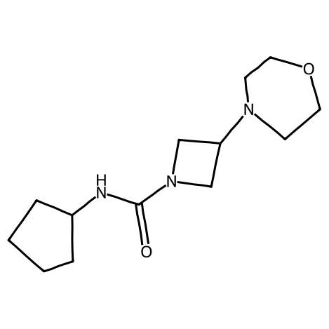 O=C(NC1CCCC1)N1CC(N2CCOCC2)C1